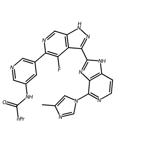 CCCC(=O)Nc1cncc(-c2ncc3[nH]nc(-c4nc5c(-n6cnc(C)c6)nccc5[nH]4)c3c2F)c1